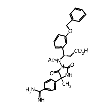 CC(=O)N([C@H](CC(=O)O)c1cccc(OCc2ccccc2)c1)N1C(=O)N[C@](C)(c2ccc(C(=N)N)cc2)C1=O